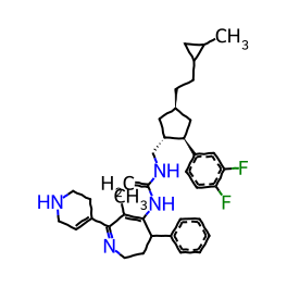 C=C(NC[C@@H]1C[C@@H](CCC2CC2C)C[C@H]1c1ccc(F)c(F)c1)NC1=C(C)C(C2=CCNCC2)=NCCC1c1ccccc1